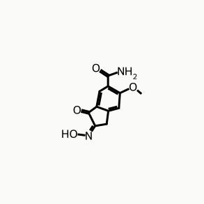 COc1cc2c(cc1C(N)=O)C(=O)C(=NO)C2